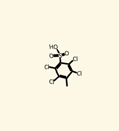 Cc1c(Cl)c(Cl)c(S(=O)(=O)O)c(Cl)c1Cl